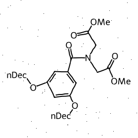 CCCCCCCCCCOc1cc(OCCCCCCCCCC)cc(C(=O)N(CC(=O)OC)CC(=O)OC)c1